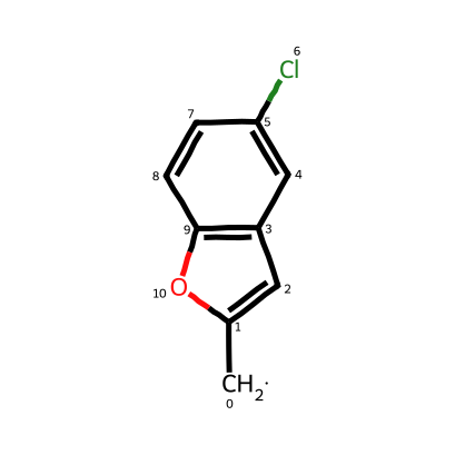 [CH2]c1cc2cc(Cl)ccc2o1